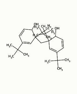 CC(C)(C)C1=CC(CC2(C(C)(C)C)C=C(C(C)(C)C)C=CC2O)(C(C)(C)C)C(O)C=C1